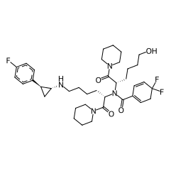 O=C([C@H](CCCCO)N(C(=O)C1=CCC(F)(F)C=C1)[C@@H](CCCCN[C@@H]1C[C@H]1c1ccc(F)cc1)C(=O)N1CCCCC1)N1CCCCC1